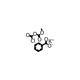 COC(=O)OC(=O)Cl.O=C([O-])c1ccccc1.[K+]